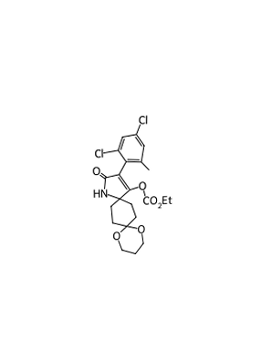 CCOC(=O)OC1=C(c2c(C)cc(Cl)cc2Cl)C(=O)NC12CCC1(CC2)OCCCO1